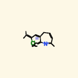 C=C=C1N=C(C)C=CC/C1=C/C(Cl)=C(C)C